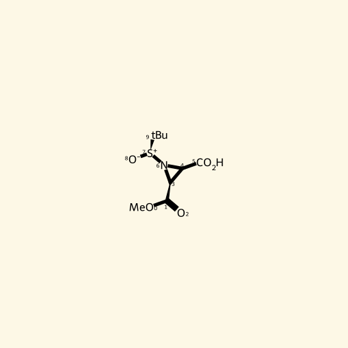 COC(=O)[C@@H]1C(C(=O)O)N1[S@@+]([O-])C(C)(C)C